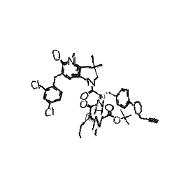 C#CCOc1ccc(C[C@H](NC(=O)[C@H](CC)N(C)C(=O)OC(C)(C)C)C(=O)N2CC(C)(C)c3c2cc(Cc2ccc(Cl)cc2Cl)c(=O)n3C)cc1